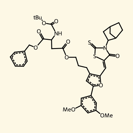 COc1cc(OC)cc(-c2cc(CCCOC(=O)CC(NC(=O)OC(C)(C)C)C(=O)OCc3ccccc3)c(C=C3SC(=S)N(C4CC5CCC4C5)C3=O)o2)c1